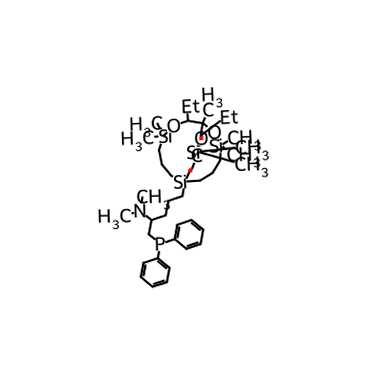 CCC1O[Si](C)(C)CCC[Si]2(CCCC(CP(c3ccccc3)c3ccccc3)N(C)C)CCC[Si](C)(C)OC(CC)C1(C)O[Si](C)(C)CCC2